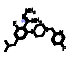 CC(C)Cc1cc(F)c(/C(N)=N/N)c(N2CCN(Cc3ccc(F)cn3)CC2)c1